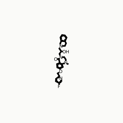 CN1CCN(CC(O)CN2CCc3ccccc3C2)C(=O)c2ccc(OCc3ccc(F)cn3)cc21